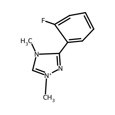 Cn1c[n+](C)nc1-c1ccccc1F